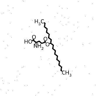 CCCCCCCCCCCC(CCCCCCCC)OC(=O)CC[C@H](N)C(=O)O